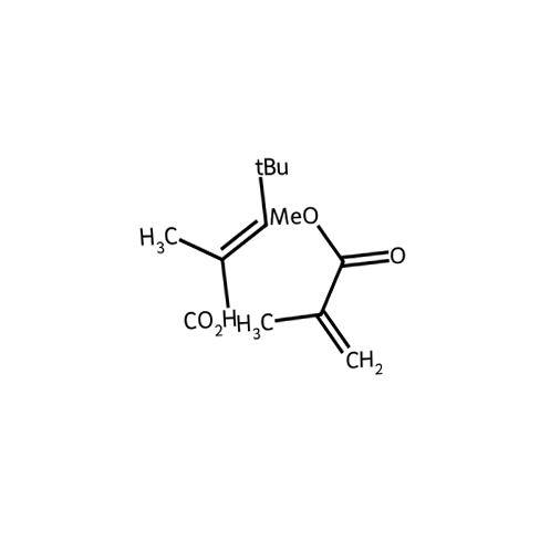 C=C(C)C(=O)OC.CC(=CC(C)(C)C)C(=O)O